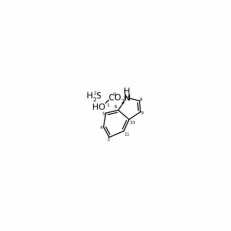 O=C(O)O.S.c1ccc2[nH]ccc2c1